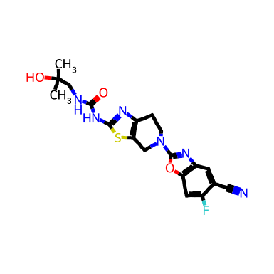 CC(C)(O)CNC(=O)Nc1nc2c(s1)CN(c1nc3cc(C#N)c(F)cc3o1)CC2